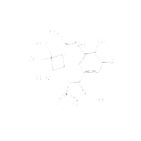 CC(Nc1cc(-c2n[nH]c(=O)o2)cc(F)c1C(F)(F)F)[C@@H]1C[C@H](N)C1(C)C.Cl